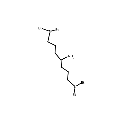 CCN(CC)CCC[CH]([AlH2])CCCN(CC)CC